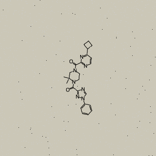 CC1(C)CN(C(=O)c2nccc(C3CCC3)n2)CCN1C(=O)c1ncn(-c2ccccc2)n1